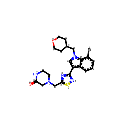 CCc1cccc2c(-c3nsc(CN4CCNC(=O)C4)n3)cn(CC3CCOCC3)c12